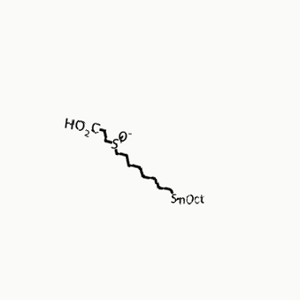 CCCCCCCCSCCCCCCCC[S+]([O-])CCC(=O)O